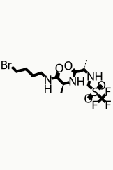 C[C@H](NCS(=O)(=O)C(F)(F)F)C(=O)N[C@@H](C)C(=O)NCCCCBr